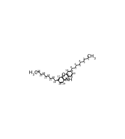 CCCCCCCCCc1ccc2c(c1)Oc1cc(CCCCCCCCC)ccc1N2